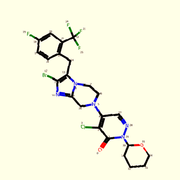 O=c1c(Cl)c(N2CCn3c(nc(Br)c3Cc3ccc(F)cc3C(F)(F)F)C2)cnn1C1CCCCO1